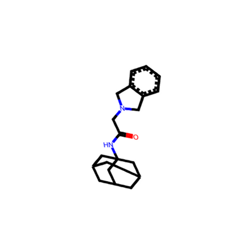 O=C(CN1Cc2ccccc2C1)NC12CC3CC(CC(C3)C1)C2